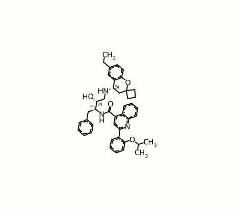 CCc1ccc2c(c1)[C@@H](NC[C@@H](O)[C@H](Cc1ccccc1)NC(=O)c1cc(-c3ccccc3OC(C)C)nc3ccccc13)CC1(CCC1)O2